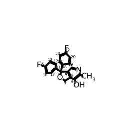 Cc1ncc2c(c1O)COC2(c1ccc(F)cc1)c1ccc(F)cc1